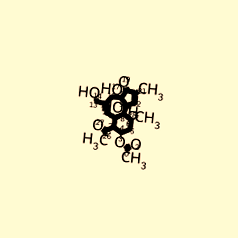 CC(=O)O[C@H]1C[C@@H](C)[C@@]2(O)C(C=C(CO)CC3(O)C(=O)C(C)=C[C@H]32)C1C(C)=O